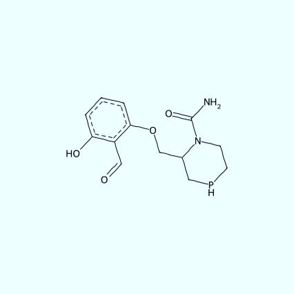 NC(=O)N1CCPCC1COc1cccc(O)c1C=O